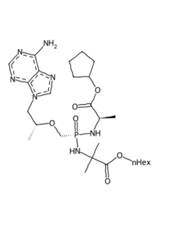 CCCCCCOC(=O)C(C)(C)N[P@](=O)(CO[C@H](C)Cn1cnc2c(N)ncnc21)N[C@H](C)C(=O)OC1CCCC1